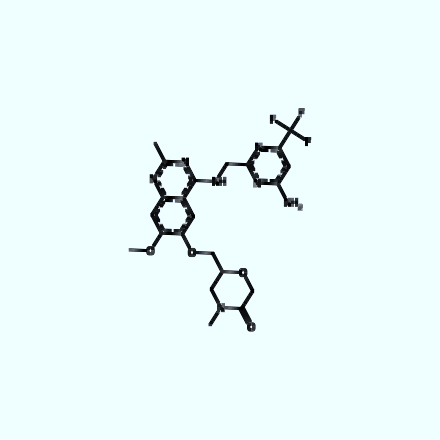 COc1cc2nc(C)nc(NCc3nc(N)cc(C(F)(F)F)n3)c2cc1OCC1CN(C)C(=O)CO1